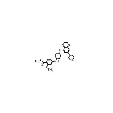 COC(=O)c1ccc(N[C@H]2CC[C@@H](Oc3cc(N4CCOCC4)cc4nccnc34)CC2)cc1OC